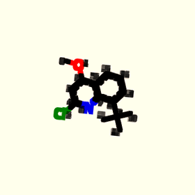 COc1cc(Cl)nc2c(C(C)(C)C)cccc12